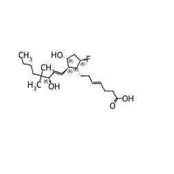 CCCCC(C)(C)[C@H](O)C=C[C@@H]1[C@@H](CCC=CCCC(=O)O)[C@H](F)C[C@H]1O